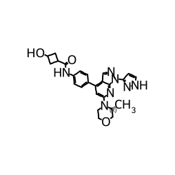 C[C@@H]1COCCN1c1cc(-c2ccc(NC(=O)C3CC(O)C3)cc2)c2cnn(-c3cc[nH]n3)c2n1